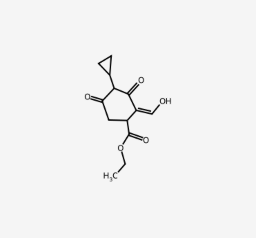 CCOC(=O)C1CC(=O)C(C2CC2)C(=O)C1=CO